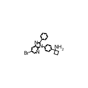 NC1(c2ccc(-n3c(-c4ccccc4)nc4cc(Br)cnc43)cc2)CCC1